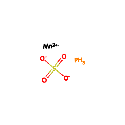 O=S(=O)([O-])[O-].P.[Mn+2]